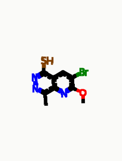 COc1nc2c(C)nnc(S)c2cc1Br